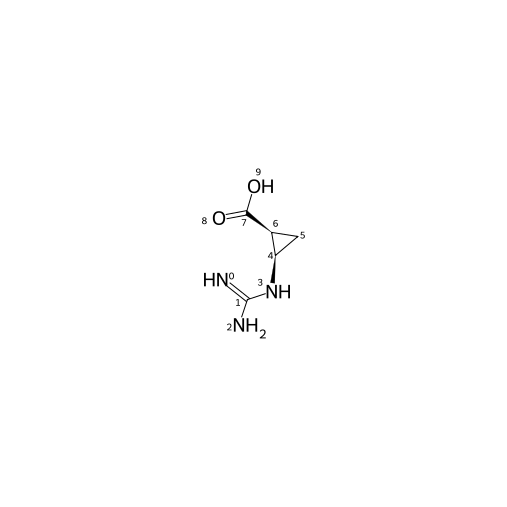 N=C(N)N[C@@H]1C[C@@H]1C(=O)O